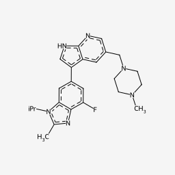 Cc1nc2c(F)cc(-c3c[nH]c4ncc(CN5CCN(C)CC5)cc34)cc2n1C(C)C